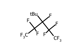 CC(C)(C)C(F)(C(F)(F)C(F)(F)F)C(F)(F)C(F)(F)F